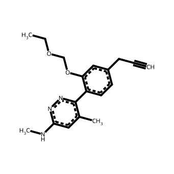 C#CCc1ccc(-c2nnc(NC)cc2C)c(OCOCC)c1